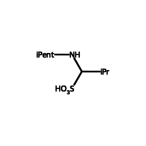 CCCC(C)NC(C(C)C)S(=O)(=O)O